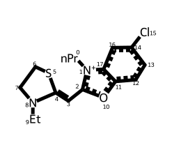 CCC[n+]1c(C=C2SCCN2CC)oc2ccc(Cl)cc21